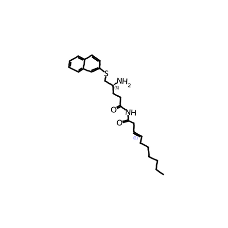 CCCCCC/C=C/CC(=O)NC(=O)CC[C@H](N)CSc1ccc2ccccc2c1